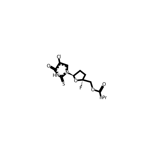 CCCC(=O)OC[C@]1(F)CC[C@H](n2cc(Cl)c(=O)[nH]c2=S)O1